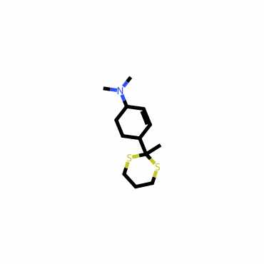 CN(C)C1C=CC(C2(C)SCCCS2)CC1